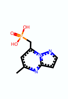 Cc1cc(CP(=O)(O)O)n2nccc2n1